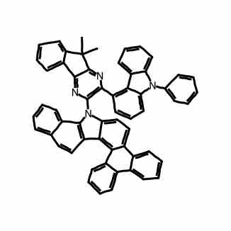 CC1(C)c2ccccc2-c2nc(-n3c4ccc5c6ccccc6c6ccccc6c5c4c4ccc5ccccc5c43)c(-c3cccc4c3c3ccccc3n4-c3ccccc3)nc21